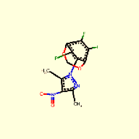 Cc1nn(-c2c(F)c3c(F)c(F)c2OCO3)c(C)c1[N+](=O)[O-]